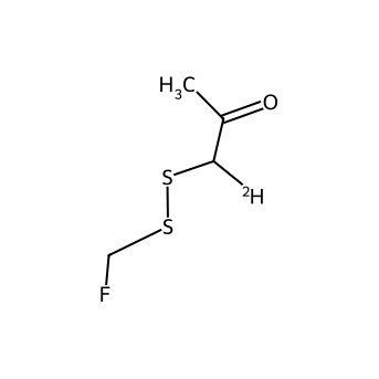 [2H]C(SSCF)C(C)=O